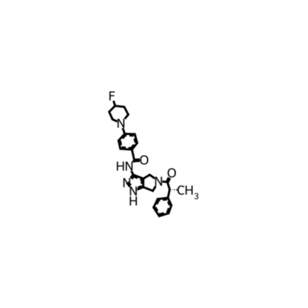 C[C@@H](C(=O)N1Cc2[nH]nc(NC(=O)c3ccc(N4CCC(F)CC4)cc3)c2C1)c1ccccc1